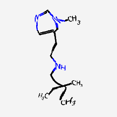 Cn1cncc1CCNCC(C)(C)C